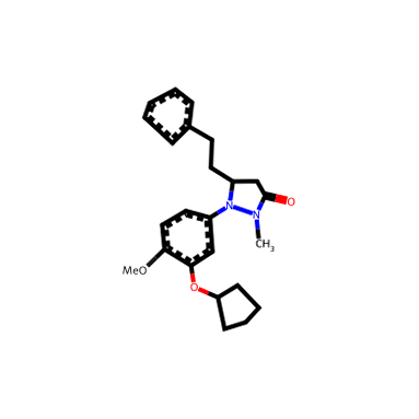 COc1ccc(N2C(CCc3ccccc3)CC(=O)N2C)cc1OC1CCCC1